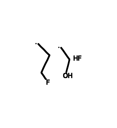 F.[CH2]CCF.[CH2]CO